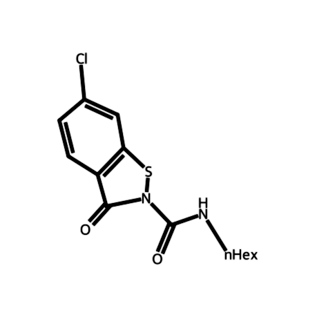 CCCCCCNC(=O)n1sc2cc(Cl)ccc2c1=O